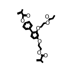 C=C(C)C(=O)OCCOc1ccc(-c2ccc(OC(=O)C(=C)C)cc2)c(OCCOC(=O)CC)c1